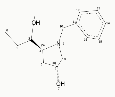 CCC(O)[C@@H]1C[C@@H](O)CN1Cc1ccccc1